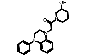 O=C(CN1CCN(c2ccccc2)c2ccccc21)N1CCCC(O)C1